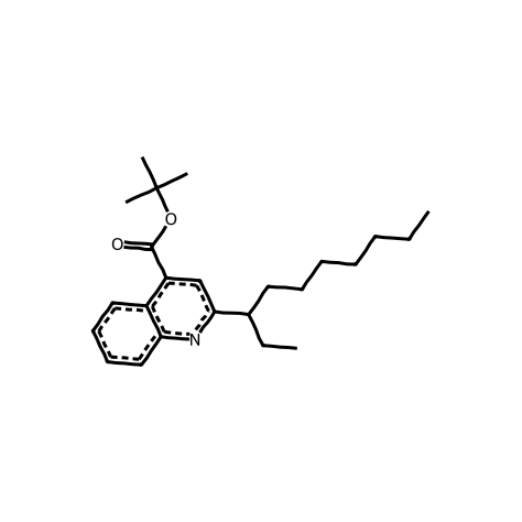 CCCCCCCC(CC)c1cc(C(=O)OC(C)(C)C)c2ccccc2n1